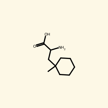 CC1(CC(N)C(=O)O)CCCCC1